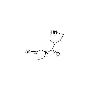 CC(=O)[C@@H]1CCN(C(=O)C2CCNCC2)C1